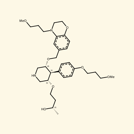 COCCCOc1ccc([C@@H]2[C@@H](OCc3ccc4c(c3)N(CCCOC)CCO4)CNC[C@H]2OCC[C@H](C)O)cc1